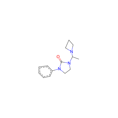 CC(N1CCC1)N1CCN(c2ccccc2)C1=O